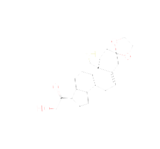 C[C@]12CCC3C(CC=C4CC5(CCC43CS)OCCO5)C1CCC2C(=O)CO